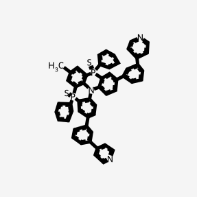 Cc1cc2c3c(c1)P(=S)(c1ccccc1)c1cc(-c4cccc(-c5ccncc5)c4)ccc1N3c1ccc(-c3cccc(-c4ccncc4)c3)cc1P2(=S)c1ccccc1